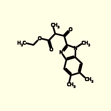 CCOC(=O)C(C)C(=O)c1nc2cc(C)c(C)cc2n1C